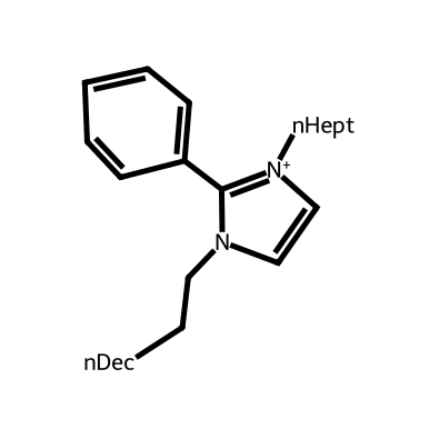 CCCCCCCCCCCCn1cc[n+](CCCCCCC)c1-c1ccccc1